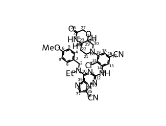 CCN(Cc1ccc(OC)cc1)c1nc(Nc2cc(C#N)cc(N3CC[C@H]4NC(=O)CO[C@@H]4C3)c2Cl)nn2c(C#N)cnc12